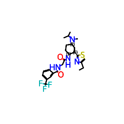 CCc1csc([C@H]2C[C@H](N(C)C(C)C)CC[C@@H]2NC(=O)CNC(=O)c2cccc(C(F)(F)F)c2)n1